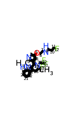 Cc1ncc(OCCNCCCF)cc1C1c2[nH]c3ccccc3c2C[C@@H](C)N1CC(F)(F)F